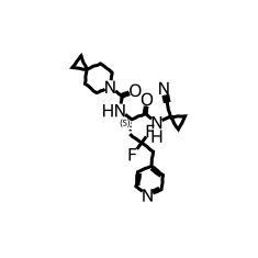 N#CC1(NC(=O)[C@H](CC(F)(F)Cc2ccncc2)NC(=O)N2CCC3(CC2)CC3)CC1